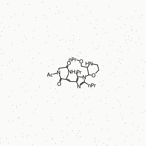 CCCOCC1NCCOC1n1c(CCC)nc(C=C2NC(=O)CN(C(C)=O)C2=O)c1C(C)C